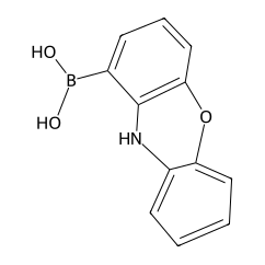 OB(O)c1cccc2c1Nc1ccccc1O2